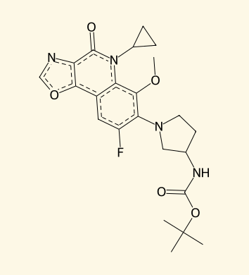 COc1c(N2CCC(NC(=O)OC(C)(C)C)C2)c(F)cc2c3ocnc3c(=O)n(C3CC3)c12